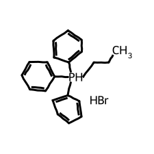 Br.CCCC[PH](c1ccccc1)(c1ccccc1)c1ccccc1